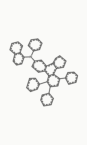 c1ccc(-c2cc(-c3ccccc3)c3c4ccccc4c4cc(N(c5ccccc5)c5cccc6ccccc56)ccc4c3c2-c2ccccc2)cc1